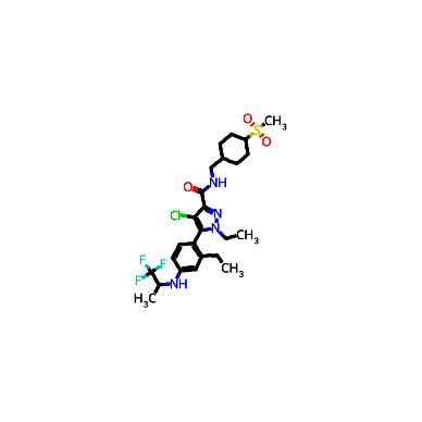 CCc1cc(NC(C)C(F)(F)F)ccc1-c1c(Cl)c(C(=O)NCC2CCC(S(C)(=O)=O)CC2)nn1CC